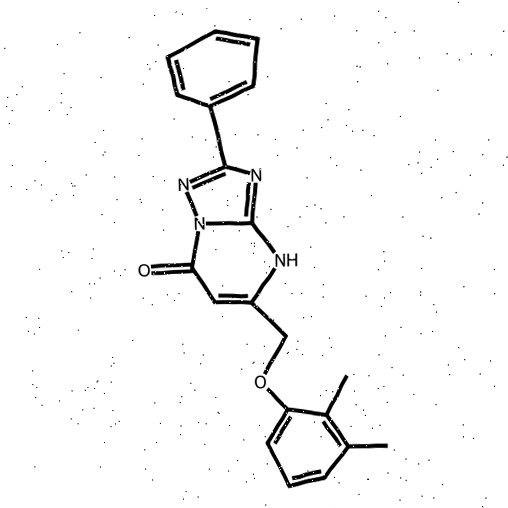 Cc1cccc(OCc2cc(=O)n3nc(-c4ccccc4)nc3[nH]2)c1C